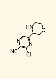 N#Cc1ncc(C2COCCN2)nc1Cl